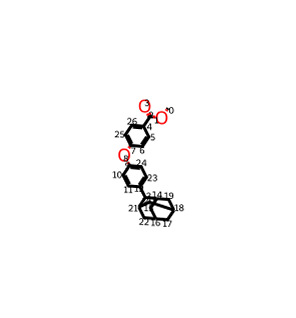 COC(=O)c1ccc(Oc2ccc(C3C4CC5CC(C4)CC3C5)cc2)cc1